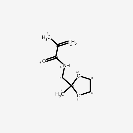 C=C(C)C(=O)NCC1(C)OCCO1